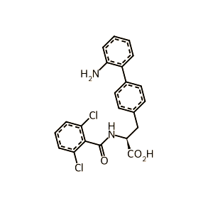 Nc1ccccc1-c1ccc(C[C@H](NC(=O)c2c(Cl)cccc2Cl)C(=O)O)cc1